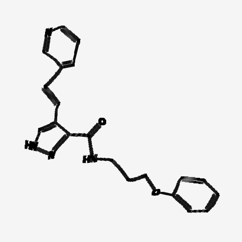 O=C(NCCCOc1ccccc1)c1n[nH]cc1/C=C/c1cccnc1